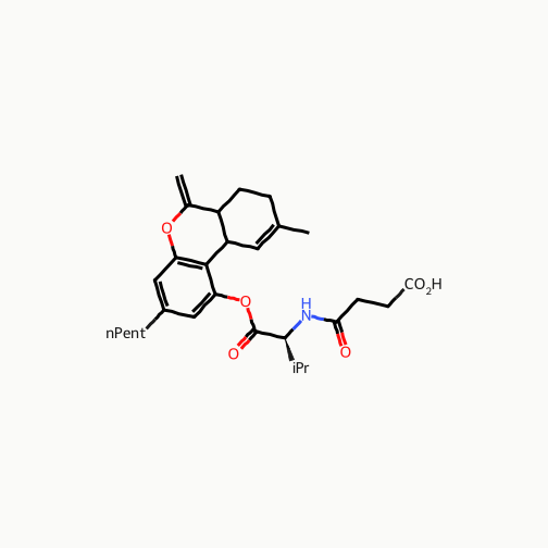 C=C1Oc2cc(CCCCC)cc(OC(=O)[C@@H](NC(=O)CCC(=O)O)C(C)C)c2C2C=C(C)CCC12